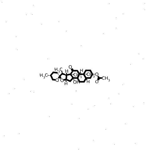 CC(=O)O[C@H]1CC[C@@]2(C)[C@@H](CCC3[C@@H]2CC(=O)[C@]2(C)[C@@H]4[C@H](C[C@]32O)O[C@]2(CC[C@@H](C)CO2)[C@H]4C)C1